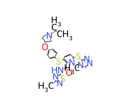 Cc1nsc(NC(=O)c2nc(Sc3nncn3C)ccc2Sc2ccc(O[C@@H]3CCN(C(C)C)C3)cc2)n1